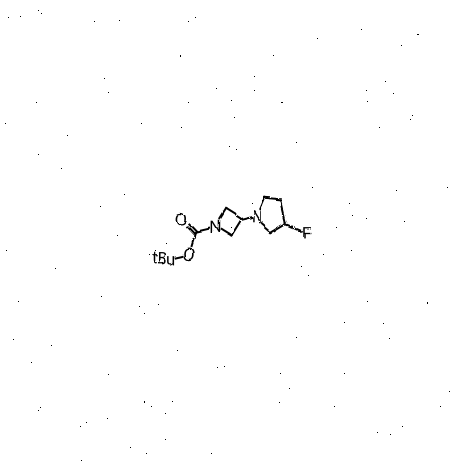 CC(C)(C)OC(=O)N1CC(N2CCC(F)C2)C1